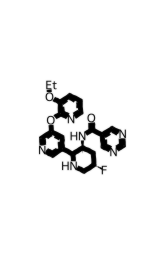 CCOc1cccnc1Oc1cncc(C2NC[C@@H](F)C[C@@H]2NC(=O)c2cncnc2)c1